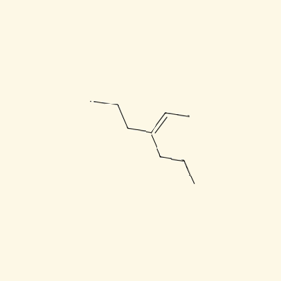 [CH2]CCC(=CC)CCC